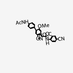 COc1cc2c(C(=O)Nc3ccc(C#N)cc3C(=O)O)noc2cc1-c1ccc(NC(C)=O)cc1